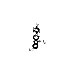 N#Cc1ccc2c(c1)CC1(CCN(c3ncc(Br)nn3)CC1)[C@@H]2N